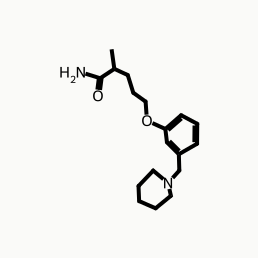 CC(CCCOc1cccc(CN2CCCCC2)c1)C(N)=O